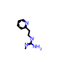 CN=C(N)[N]CCc1ccccn1